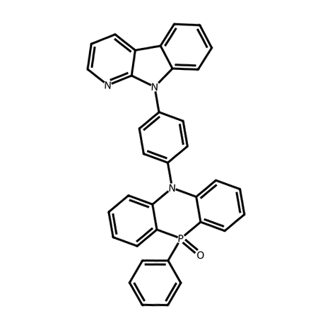 O=P1(c2ccccc2)c2ccccc2N(c2ccc(-n3c4ccccc4c4cccnc43)cc2)c2ccccc21